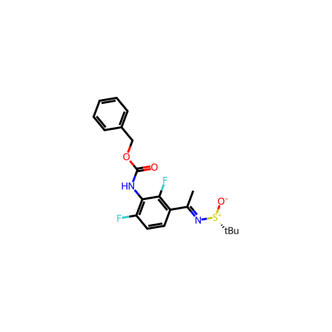 C/C(=N\[S@+]([O-])C(C)(C)C)c1ccc(F)c(NC(=O)OCc2ccccc2)c1F